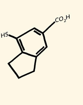 O=C(O)c1cc(S)c2c(c1)CCC2